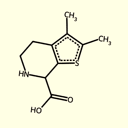 Cc1sc2c(c1C)CCNC2C(=O)O